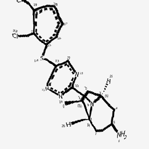 C[C@H]1C[C@H]2CC(N)C[C@H]1N2c1ncc(Sc2cccc(Cl)c2Cl)nn1